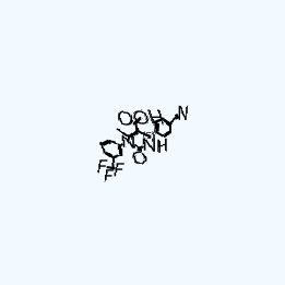 CC1=C(C(=O)O)[C@H](c2ccc(C#N)cc2)NC(=O)N1c1cccc(C(F)(F)F)c1